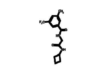 Cc1cc(C(=O)NCC(=O)NC2CCC2)cc(C(F)(F)F)c1